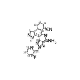 Cn1nccc1-c1c(-c2ccccc2C#N)nc(N)c2nn(Cc3ncccc3F)nc12